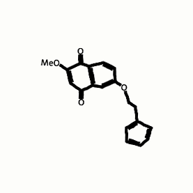 COC1=CC(=O)c2cc(OCCc3ccccc3)ccc2C1=O